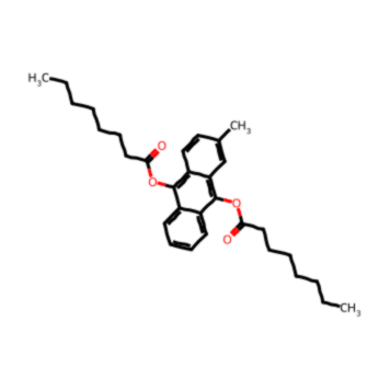 CCCCCCCC(=O)Oc1c2ccccc2c(OC(=O)CCCCCCC)c2cc(C)ccc12